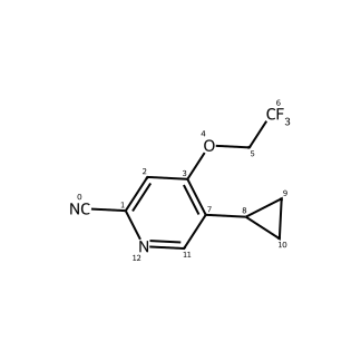 N#Cc1cc(OCC(F)(F)F)c(C2CC2)cn1